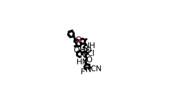 CC1CCC(CC(C)(O)c2cc(-c3ccccc3)on2)C1NS(=O)(=O)c1c(Cl)c(C(=O)Nc2cc(F)nc(C#N)c2)n2c1C=CCC2